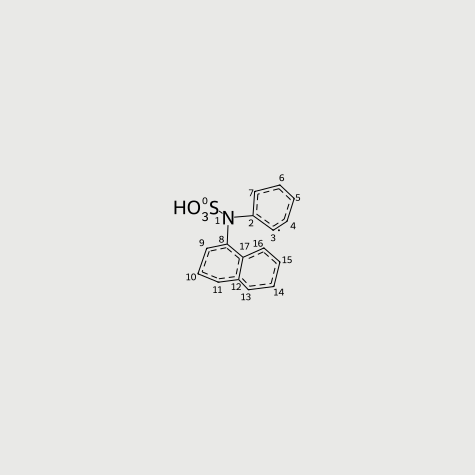 O=S(=O)(O)N(c1[c]cccc1)c1cccc2ccccc12